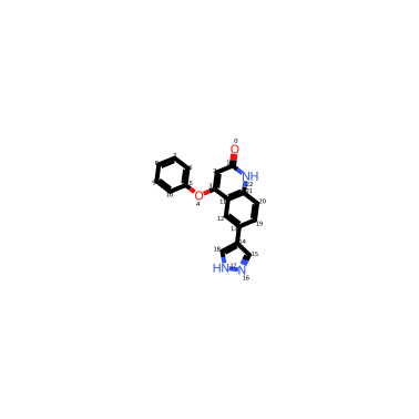 O=c1cc(Oc2ccccc2)c2cc(-c3cn[nH]c3)ccc2[nH]1